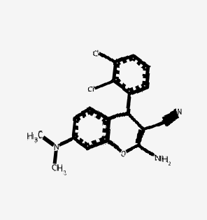 CN(C)c1ccc2c(c1)OC(N)=C(C#N)C2c1cccc(Cl)c1Cl